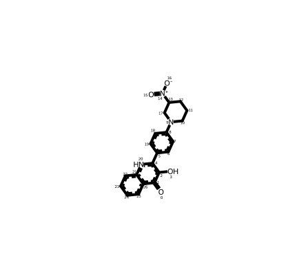 O=c1c(O)c(-c2ccc(N3CCCC([N+](=O)[O-])C3)cc2)[nH]c2ccccc12